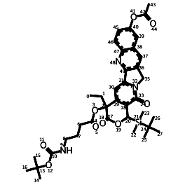 CCC1(OC(=O)CCCNC(=O)OC(C)(C)C)C(=O)OC([Si](C)(C)C(C)(C)C)c2c1cc1n(c2=O)Cc2cc3cc(OC(C)=O)ccc3nc2-1